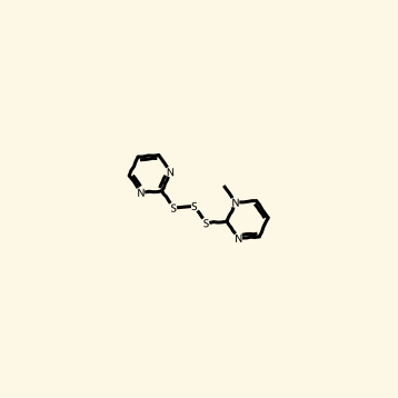 CN1C=CC=NC1SSSc1ncccn1